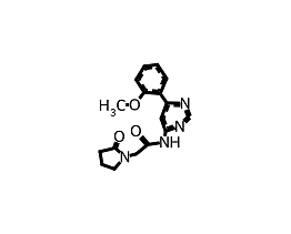 COc1ccccc1-c1cc(NC(=O)CN2CCCC2=O)ncn1